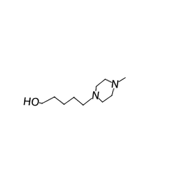 CN1CCN(CCCCCO)CC1